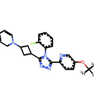 [2H]C([2H])([2H])Oc1ccc(-c2nnc(C3CC(N4C=CC=CC4)C3)n2-c2ccccc2F)nc1